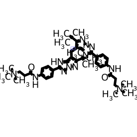 CC(C)(C)c1nn2nc(-c3ccc(NC(=O)CC[N+](C)(C)C)cc3)[nH]c2c1/C=c1/c(C(C)(C)C)nn2nc(-c3ccc(NC(=O)CC[N+](C)(C)C)cc3)nc12